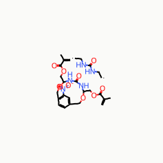 C=C(C)C(=O)OCC1NC(=O)NC(COC(=O)C(=C)C)OCc2ccc(cc2[N+](=O)[O-])CO1.[CH2]CNC(=O)NC[CH2]